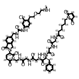 CNCCOCCc1ccc(NC(=O)NCc2ccc3c(c2)CN(C2CCC(=O)N(CNC(=O)CNC(=O)CNC(=O)[C@H](Cc4ccccc4)NC(=O)CNC(=O)CNC(=O)CCCCCN4C(=O)C=CC4=O)C2=O)C3=O)cc1Cl